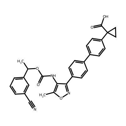 Cc1onc(-c2ccc(-c3ccc(C4(C(=O)O)CC4)cc3)cc2)c1NC(=O)OC(C)c1cccc(C#N)c1